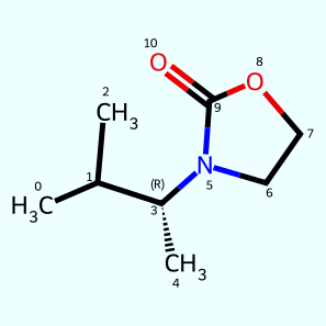 CC(C)[C@@H](C)N1CCOC1=O